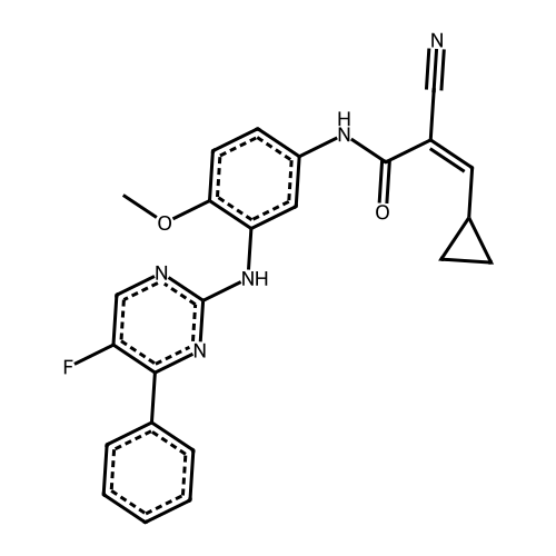 COc1ccc(NC(=O)/C(C#N)=C\C2CC2)cc1Nc1ncc(F)c(-c2ccccc2)n1